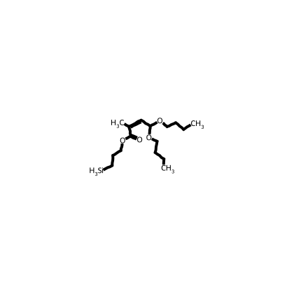 CCCCOC(C=C(C)C(=O)OCCC[SiH3])OCCCC